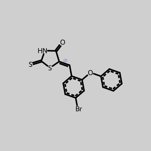 O=C1NC(=S)S/C1=C\c1ccc(Br)cc1Oc1ccccc1